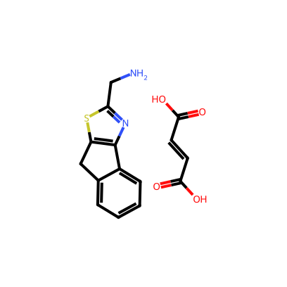 NCc1nc2c(s1)Cc1ccccc1-2.O=C(O)C=CC(=O)O